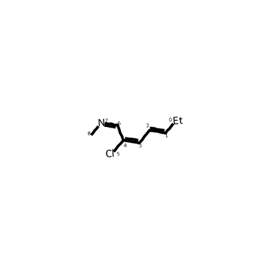 CC/C=C/C=C(Cl)\C=N/C